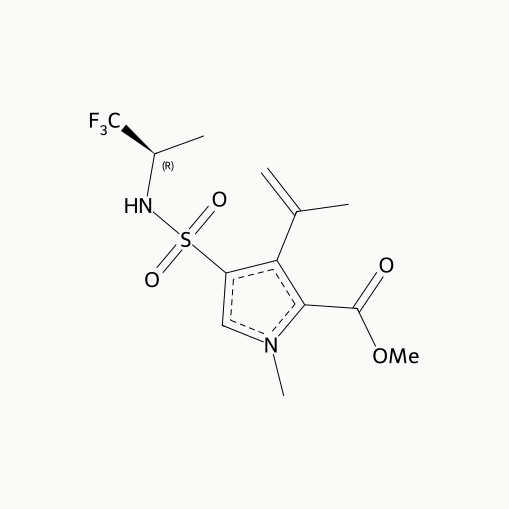 C=C(C)c1c(S(=O)(=O)N[C@H](C)C(F)(F)F)cn(C)c1C(=O)OC